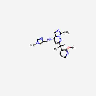 CCOc1ncccc1C(C)(C)c1cc(NCc2cn(C)cn2)c2cnc(C)n2n1